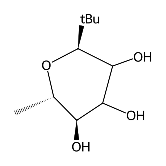 C[C@@H]1O[C@@H](C(C)(C)C)C(O)C(O)[C@H]1O